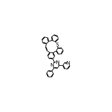 C1=C\c2ccc(-c3nc(-c4ccccc4)cc(-c4cccnc4)n3)cc2-c2ccccc2Sc2ccccc2-c2ccccc2/1